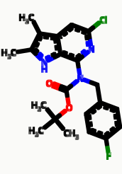 Cc1[nH]c2c(N(Cc3ccc(F)cc3)C(=O)OC(C)(C)C)nc(Cl)cc2c1C